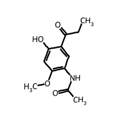 CCC(=O)c1cc(NC(C)=O)c(OC)cc1O